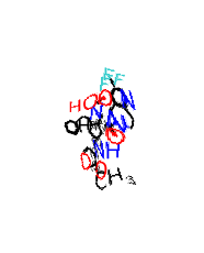 CO[C@@H]1COCC[C@@H]1N[C@@H]1C[C@H]2C(Cc3ccccc3)N(C(=O)O)C[C@@]2(C(=O)N2CCc3ncc(C(F)(F)F)cc3C2)C1